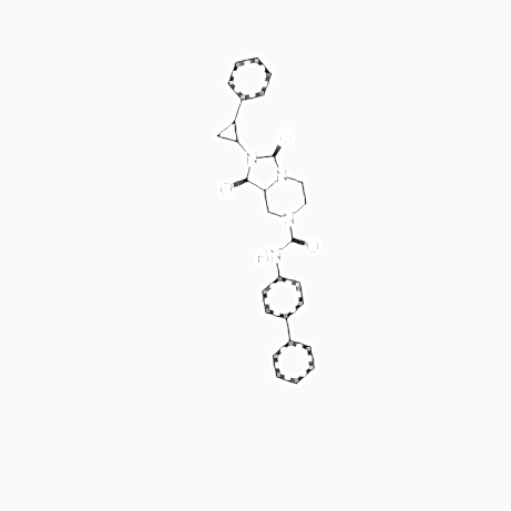 O=C(Nc1ccc(-c2ccccc2)cc1)N1CCN2C(=O)N(C3CC3c3ccccc3)C(=O)C2C1